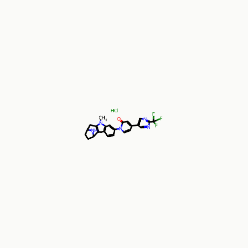 Cl.Cn1c2c(c3ccc(-n4ccc(-c5cnc(C(F)(F)F)nc5)cc4=O)cc31)C1CCC(C2)N1